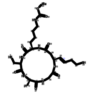 CC(C)[C@H]1NC(=O)C(CS)NC(=O)[C@@H](CCCCNC(=O)OC(C)(C)C)NC(=O)C[C@@H](/C=C/CCS)OC(=O)CNC1=O